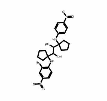 O=[N+]([O-])c1ccc(NC2(C(O)C(O)C3(Nc4ccc([N+](=O)[O-])cc4Br)CCCC3)CCCC2)cc1